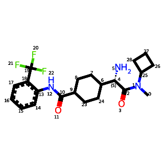 CN(C(=O)[C@@H](N)C1CCC(C(=O)Nc2ccccc2C(F)(F)F)CC1)C1CCC1